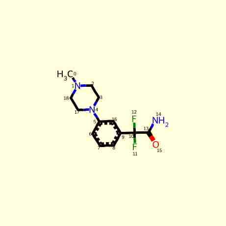 CN1CCN(c2cccc(C(F)(F)C(N)=O)c2)CC1